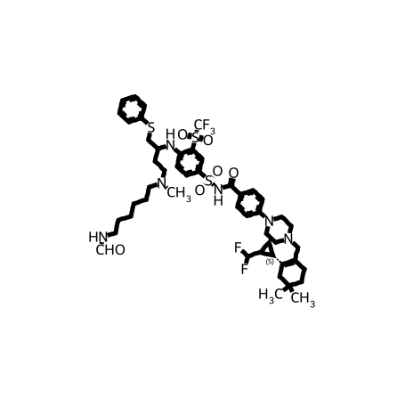 CN(CCCCCCNC=O)CCC(CSc1ccccc1)Nc1ccc(S(=O)(=O)NC(=O)c2ccc(N3CCN(CC4=C([C@H]5CC5C(F)F)CC(C)(C)CC4)CC3)cc2)cc1S(=O)(=O)C(F)(F)F